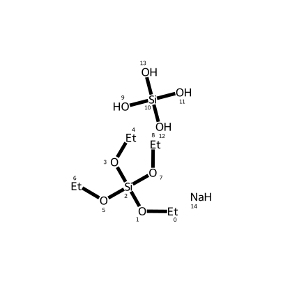 CCO[Si](OCC)(OCC)OCC.O[Si](O)(O)O.[NaH]